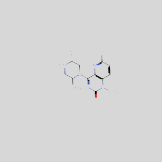 CC[C@@H]1CN(c2nc(=O)n(C)c3ccc(Cl)nc23)C(C)CN1